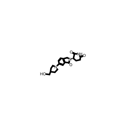 O=C1CC[C@@H](N2Cc3ccc(N4CCC(CO)CC4)cc3C2=O)C(=O)N1